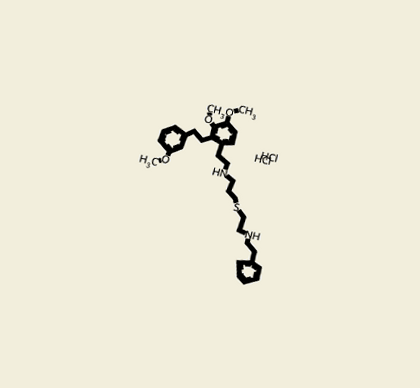 COc1cccc(CCc2c(CCNCCCSCCNCCc3ccccc3)ccc(OC)c2OC)c1.Cl.Cl